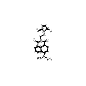 CN(C)c1ccc2c3c(cccc13)C(=O)N(CCN1C(=O)C=CC1=O)C2=O